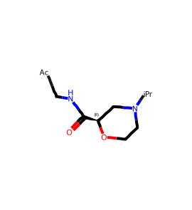 CC(=O)CNC(=O)[C@H]1CN(C(C)C)CCO1